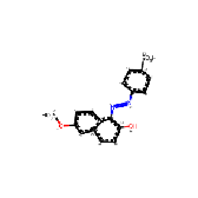 O=S(=O)(O)Oc1ccc2c(N=Nc3ccc(S(=O)(=O)O)cc3)c(O)ccc2c1